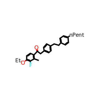 CCCCCc1ccc(CCc2ccc(CC(=O)c3ccc(OCC)c(F)c3C)cc2)cc1